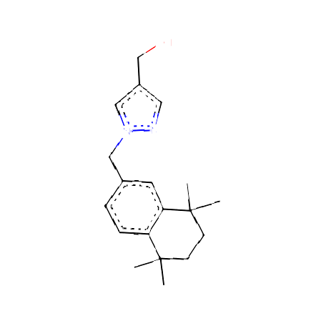 CC1(C)CCC(C)(C)c2cc(Cn3cc(CO)cn3)ccc21